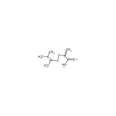 C=C(CCN(C)C(C)C)C(=O)O